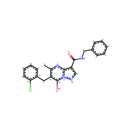 Cc1nc2c(C(=O)NCc3ccccc3)cnn2c(O)c1Cc1ccccc1Cl